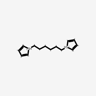 C1=C[SH](CCCCCC[SH]2C=CC=C2)C=C1